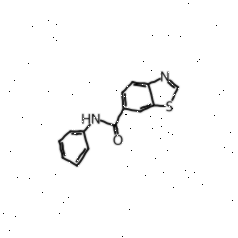 O=C(Nc1ccccc1)c1ccc2ncsc2c1